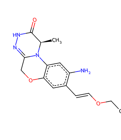 CCO/C=C/c1cc2c(cc1N)N1C(=NNC(=O)[C@H]1C)CO2